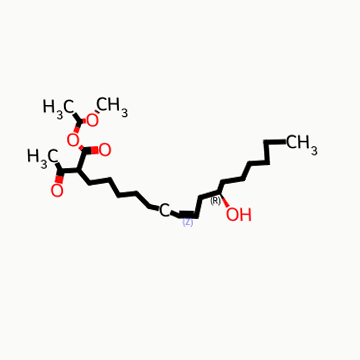 CCCCCC[C@@H](O)C/C=C\CCCCCCC(C(C)=O)C(=O)OC(C)OC